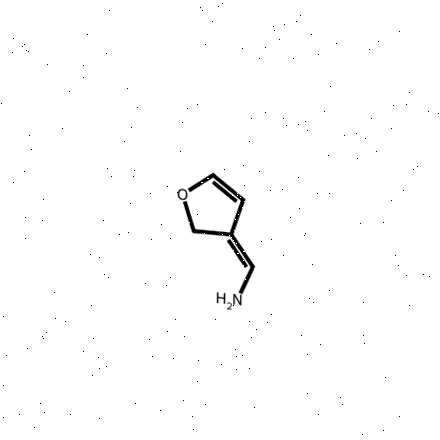 NC=C1C=COC1